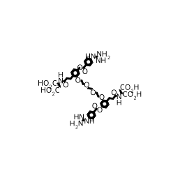 N=C(N)Nc1ccc(C(=O)Oc2ccc(CCC(=O)N[C@H](CC(=O)O)C(=O)O)c(OCCOCCOCCOc3cc(OC(=O)c4ccc(NC(=N)N)cc4)ccc3CCC(=O)N[C@H](CC(=O)O)C(=O)O)c2)cc1